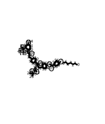 CCCCCCCOc1ccc(C(=O)Oc2ccc(CN(CC(=O)OC(C)(C)C)C(=O)c3ccc(CC(=O)Nc4ccc(OC)cc4C(F)(F)F)cc3)cc2)cc1